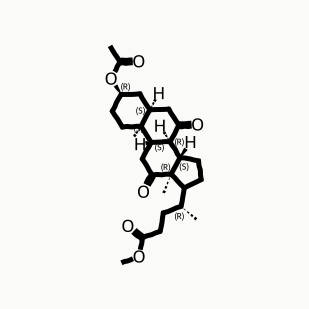 COC(=O)CC[C@@H](C)C1CC[C@H]2[C@@H]3C(=O)C[C@@H]4C[C@H](OC(C)=O)CC[C@]4(C)[C@H]3CC(=O)[C@]12C